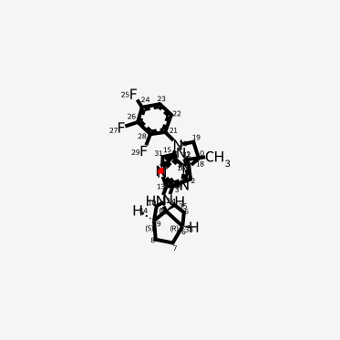 Cc1cc(N2C[C@H]3CC[C@@H](C2)[C@@H]3Nc2nc3n(n2)CCN3c2ccc(F)c(F)c2F)ncn1